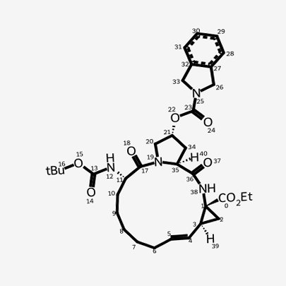 CCOC(=O)[C@@]12C[C@H]1/C=C/CCCCC[C@H](NC(=O)OC(C)(C)C)C(=O)N1C[C@H](OC(=O)N3Cc4ccccc4C3)C[C@H]1C(=O)N2